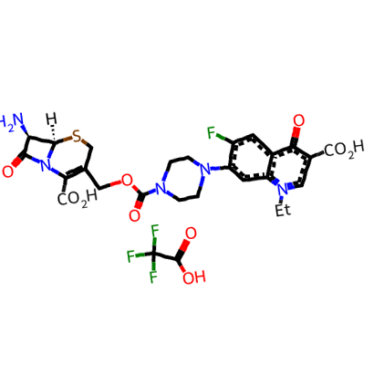 CCn1cc(C(=O)O)c(=O)c2cc(F)c(N3CCN(C(=O)OCC4=C(C(=O)O)N5C(=O)[C@@H](N)[C@H]5SC4)CC3)cc21.O=C(O)C(F)(F)F